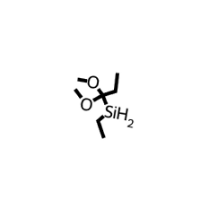 CC[SiH2]C(CC)(OC)OC